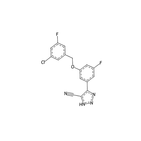 N#Cc1[nH]nnc1-c1cc(F)cc(OCc2cc(F)cc(Cl)c2)c1